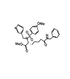 COC(=O)[C@@H](CCCCC(=O)NCc1ccccc1)N(Cc1cccnc1)S(=O)(=O)c1ccc(OC)cc1